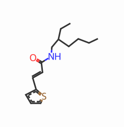 CCCCC(CC)CNC(=O)C=Cc1cccs1